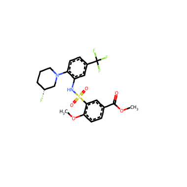 COC(=O)c1ccc(OC)c(S(=O)(=O)Nc2cc(C(F)(F)F)ccc2N2CCC[C@@H](F)C2)c1